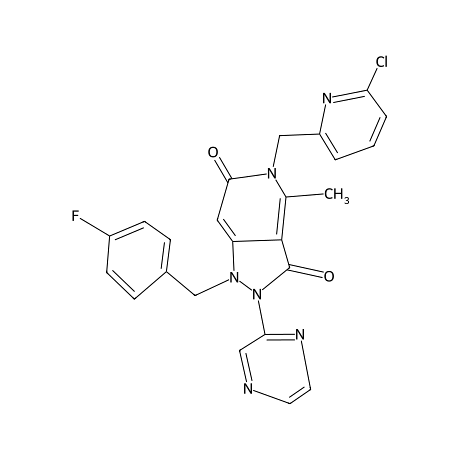 Cc1c2c(=O)n(-c3cnccn3)n(Cc3ccc(F)cc3)c2cc(=O)n1Cc1cccc(Cl)n1